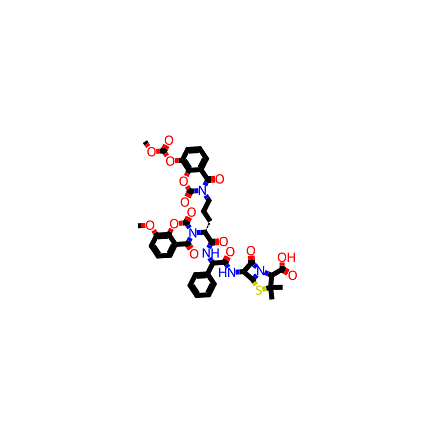 COC(=O)Oc1cccc2c(=O)n(CCC[C@H](C(=O)NC(C(=O)NC3C(=O)N4C3SC(C)(C)C4C(=O)O)c3ccccc3)n3c(=O)oc4c(OC)cccc4c3=O)c(=O)oc12